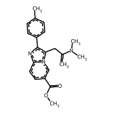 C=C(Cc1c(-c2ccc(C)cc2)nc2ccc(C(=O)OC)cn12)N(C)C